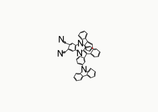 N#Cc1cc(-n2c3ccccc3c3ccccc32)c(-n2c3ccc(-n4c5ccccc5c5ccccc54)cc3c3c4ccccc4ccc32)cc1C#N